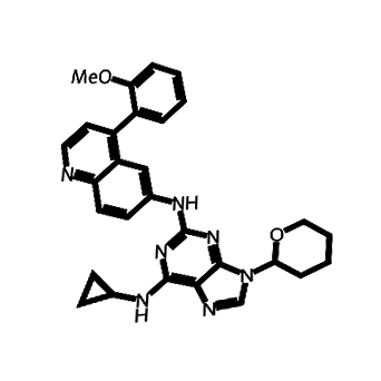 COc1ccccc1-c1ccnc2ccc(Nc3nc(NC4CC4)c4ncn(C5CCCCO5)c4n3)cc12